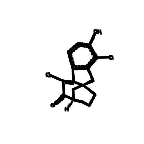 O=C1C(Cl)=C2c3ccc(O)c(Cl)c3C[C@]23CC[C@@H]1C3